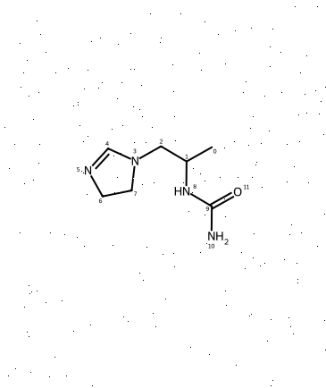 CC(CN1C=NCC1)NC(N)=O